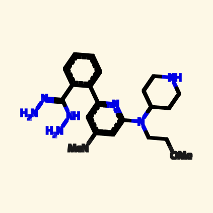 CNc1cc(-c2ccccc2/C(=N/N)NN)nc(N(CCOC)C2CCNCC2)c1